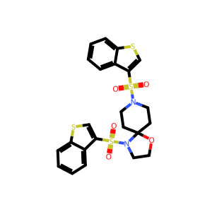 O=S(=O)(c1csc2ccccc12)N1CCC2(CC1)OCCN2S(=O)(=O)c1csc2ccccc12